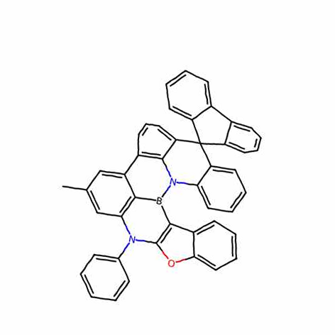 Cc1cc2c3c(c1)N(c1ccccc1)c1oc4ccccc4c1B3N1c3ccccc3C3(c4ccccc4-c4ccccc43)c3cccc-2c31